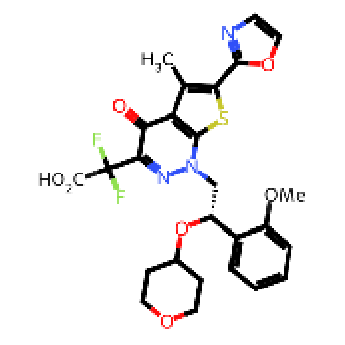 COc1ccccc1[C@@H](Cn1nc(C(F)(F)C(=O)O)c(=O)c2c(C)c(-c3ncco3)sc21)OC1CCOCC1